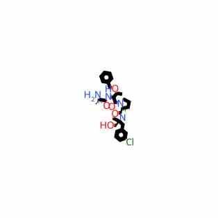 CC(OCc1ccccc1)[C@H](NC(=O)[C@H](C)N)C(=O)N1CCC[C@H]1C1=N[C@](CO)(Cc2cccc(Cl)c2)CO1